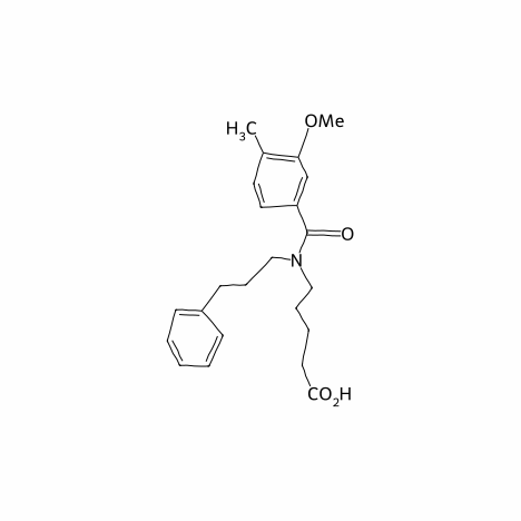 COc1cc(C(=O)N(CCCCC(=O)O)CCCc2ccccc2)ccc1C